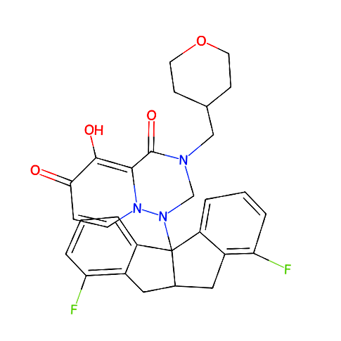 O=C1c2c(O)c(=O)ccn2N(C23c4cccc(F)c4CC2Cc2c(F)cccc23)CN1CC1CCOCC1